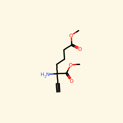 C#CC(N)(CCCC(=O)OC)C(=O)OC